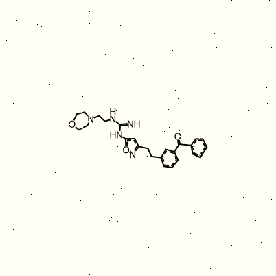 N=C(NCCN1CCOCC1)Nc1cc(CCc2cccc(C(=O)c3ccccc3)c2)no1